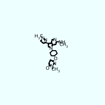 CNc1cc2c(cn1)c(-c1ccn(C)n1)cn2[C@H]1CC[C@@H](Oc2ccc(=O)n(C)n2)CC1